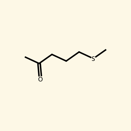 CSCCCC(C)=O